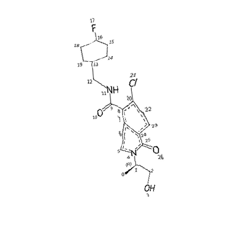 C[C@H](CO)n1ccc2c(C(=O)NCC3CCC(F)CC3)c(Cl)ccc2c1=O